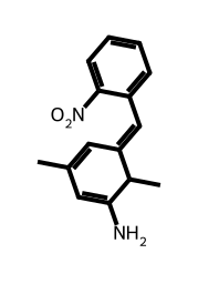 CC1=C/C(=C\c2ccccc2[N+](=O)[O-])C(C)C(N)=C1